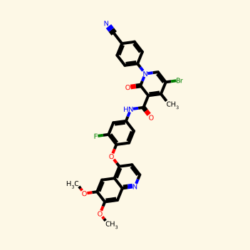 COc1cc2nccc(Oc3ccc(NC(=O)c4c(C)c(Br)cn(-c5ccc(C#N)cc5)c4=O)cc3F)c2cc1OC